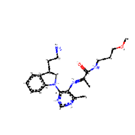 COCCCNC(=O)/C(C)=N/c1c(C)ncnc1N1CC(CCN)c2ccccc21